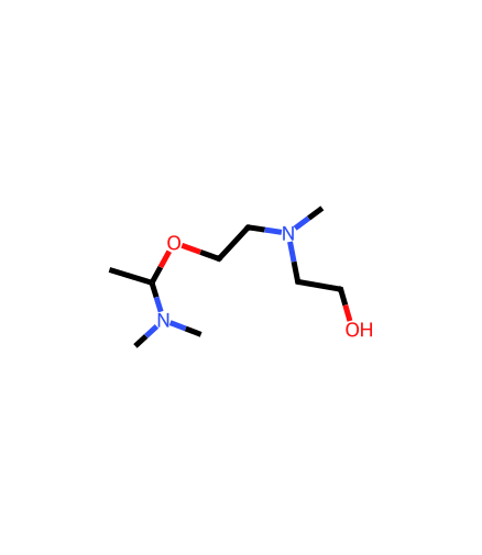 CC(OCCN(C)CCO)N(C)C